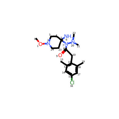 CON1CCC(N)(N(C(=O)Cc2c(C)cc(Cl)cc2C)N(C)C)CC1